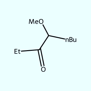 CCCCC(OC)C(=O)CC